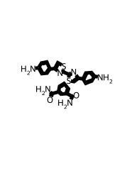 NC(=O)c1cccc(C(N)=O)c1.Nc1ccc(-c2csc(-c3nc(-c4ccc(N)cc4)cs3)n2)cc1